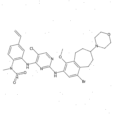 C=Cc1ccc(N(C)[SH](=O)=O)c(Nc2nc(Nc3cc(Br)c4c(c3OC)CCC(N3CCOCC3)CC4)ncc2Cl)c1